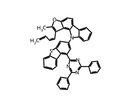 C=C/C=C\c1c(C)oc2ccc3c4ccccc4n(-c4cc(-c5nc(-c6ccccc6)nc(-c6ccccc6)n5)c5c(c4)sc4ccccc45)c3c12